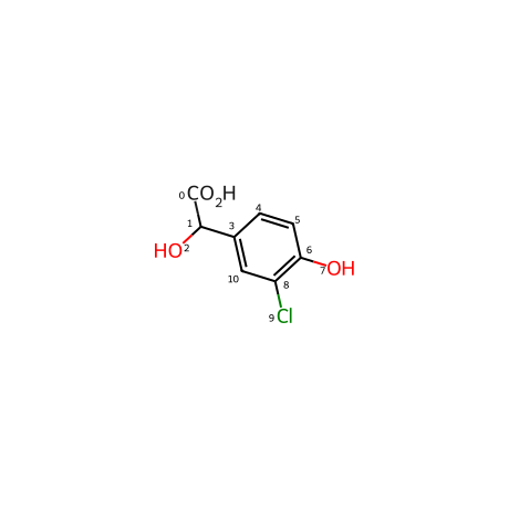 O=C(O)C(O)c1ccc(O)c(Cl)c1